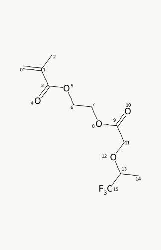 C=C(C)C(=O)OCCOC(=O)COC(C)C(F)(F)F